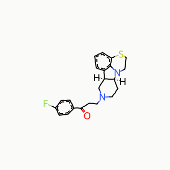 O=C(CCN1CC[C@H]2[C@@H](C1)c1cccc3c1N2CCS3)c1ccc(F)cc1